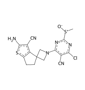 C[S+]([O-])c1nc(Cl)c(C#N)c(N2CC3(CCc4sc(N)c(C#N)c43)C2)n1